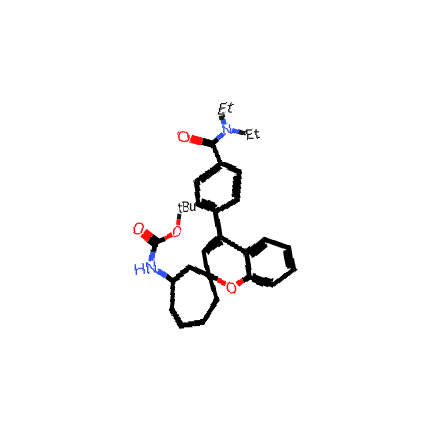 CCN(CC)C(=O)c1ccc(C2=CC3(CCCCC(NC(=O)OC(C)(C)C)C3)Oc3ccccc32)cc1